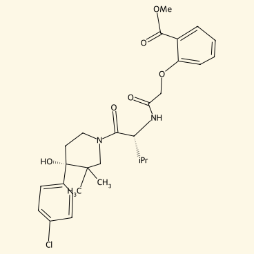 COC(=O)c1ccccc1OCC(=O)N[C@@H](C(=O)N1CC[C@](O)(c2ccc(Cl)cc2)C(C)(C)C1)C(C)C